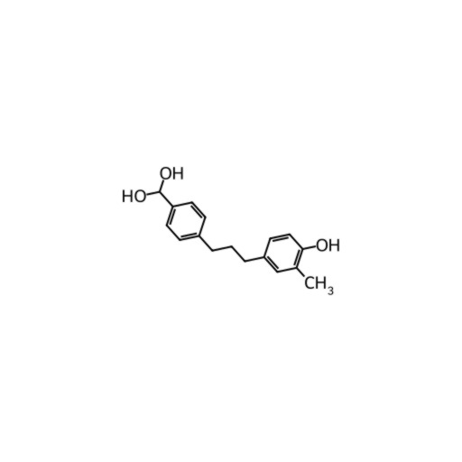 Cc1cc(CCCc2ccc(C(O)O)cc2)ccc1O